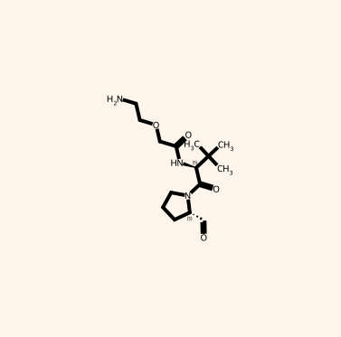 CC(C)(C)[C@H](NC(=O)COCCN)C(=O)N1CCC[C@H]1C=O